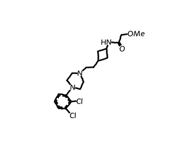 COCC(=O)NC1CC(CCN2CCN(c3cccc(Cl)c3Cl)CC2)C1